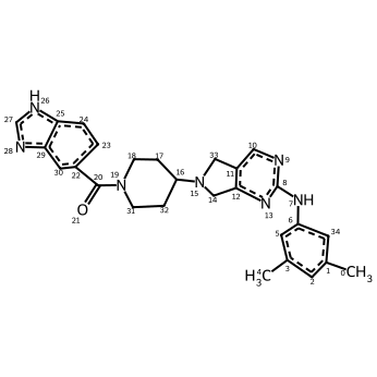 Cc1cc(C)cc(Nc2ncc3c(n2)CN(C2CCN(C(=O)c4ccc5[nH]cnc5c4)CC2)C3)c1